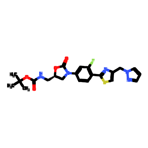 CC(C)(C)OC(=O)NC[C@H]1CN(c2ccc(-c3nc(Cn4cccn4)cs3)c(F)c2)C(=O)O1